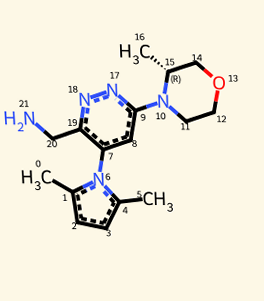 Cc1ccc(C)n1-c1cc(N2CCOC[C@H]2C)nnc1CN